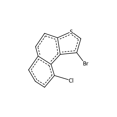 Clc1cccc2ccc3scc(Br)c3c12